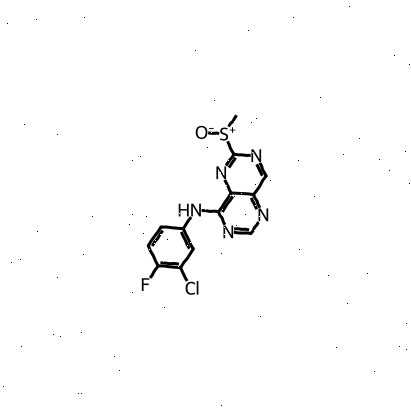 C[S+]([O-])c1ncc2ncnc(Nc3ccc(F)c(Cl)c3)c2n1